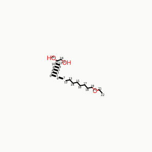 C=C.C=C.C=C.C=C.C=C.C=C.CCCCCCCCOCC.OCCO